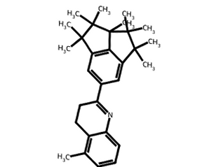 Cc1cccc2c1CCC(c1cc3c4c(c1)C(C)(C)C(C)(C)C4(C)C(C)(C)C3(C)C)=N2